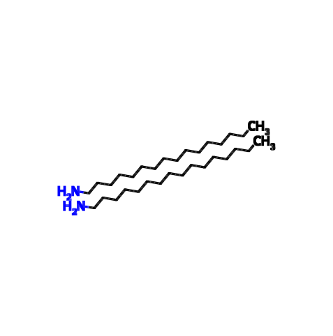 CCCCCCCCCCCCCCCCN.CCCCCCCCCCCCCCCCN